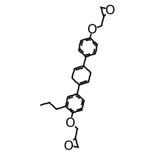 CCCc1cc(C2=CCC(c3ccc(OCC4CO4)cc3)=CC2)ccc1OCC1CO1